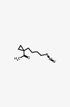 CC(=O)C1(CCCCN=[N+]=[N-])CC1